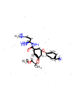 CN/C=C\C(=N)NC(=O)c1cc(Oc2ccc(C#N)cc2)cc(O[C@@H](C)COC)c1